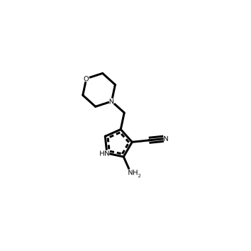 N#Cc1c(CN2CCOCC2)c[nH]c1N